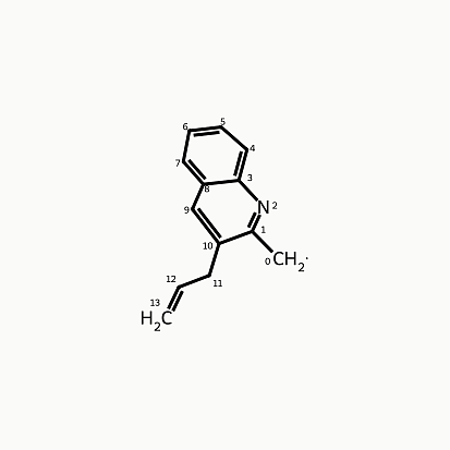 [CH2]c1nc2ccccc2cc1CC=C